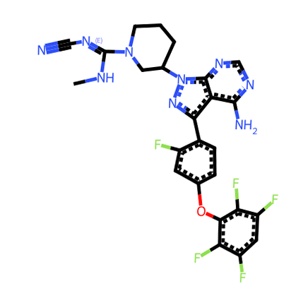 CN/C(=N\C#N)N1CCCC(n2nc(-c3ccc(Oc4c(F)c(F)cc(F)c4F)cc3F)c3c(N)ncnc32)C1